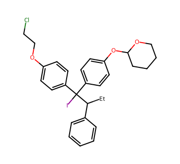 CCC(c1ccccc1)C(I)(c1ccc(OCCCl)cc1)c1ccc(OC2CCCCO2)cc1